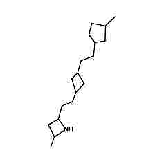 CC1CCC(CCC2CC(CCC3CC(C)N3)C2)C1